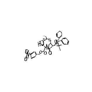 CCC(=S)SC1C(CO[Si](c2ccccc2)(c2ccccc2)C(C)(C)C)C(=O)N1C(O)C(=O)OCc1ccc([N+](=O)[O-])cc1